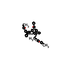 C=Cc1ccc(-c2ccc(OCC(C)CCCCC3(c4ccc(C(C)(C)C)cc4)c4ccccc4-c4ccc(N(c5ccc(-c6ccccc6)cc5)c5ccc(-c6ccc7c(c6)c6cc(-c8ccc(C=C)cc8)ccc6n7-c6ccccc6)cc5)cc43)cc2)cc1